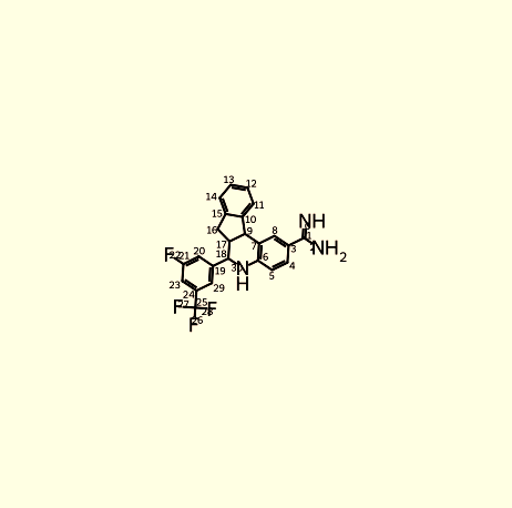 N=C(N)c1ccc2c(c1)C1c3ccccc3CC1C(c1cc(F)cc(C(F)(F)F)c1)N2